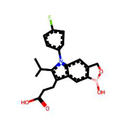 CC(C)c1c(CCC(=O)O)c2cc3c(cc2n1-c1ccc(F)cc1)COB3O